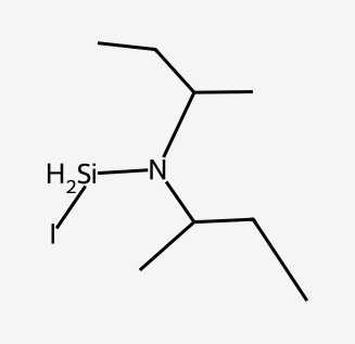 CCC(C)N([SiH2]I)C(C)CC